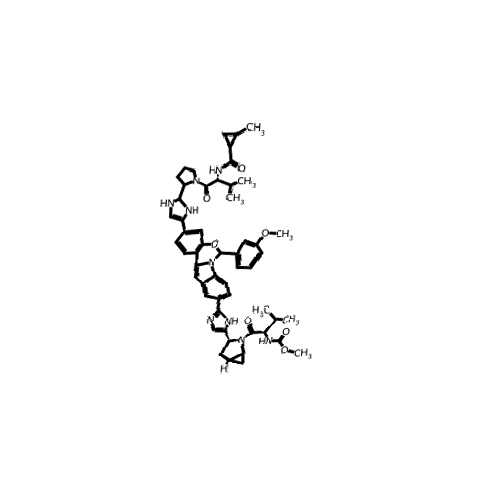 COC(=O)NC(C(=O)N1C2C[C@@H]2C[C@H]1c1cnc(-c2ccc3c(c2)cc2n3C(c3cccc(OC)c3)Oc3cc(C4=CNC(C5CCCN5C(=O)[C@@H](NC(=O)C5CC5C)C(C)C)N4)ccc3-2)[nH]1)C(C)C